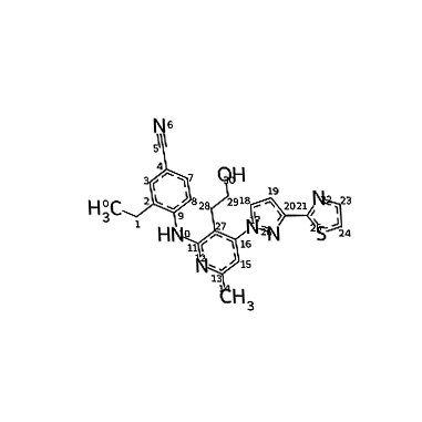 CCc1cc(C#N)ccc1Nc1nc(C)cc(-n2ccc(-c3nccs3)n2)c1CCO